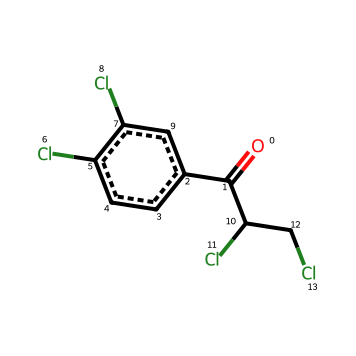 O=C(c1ccc(Cl)c(Cl)c1)C(Cl)CCl